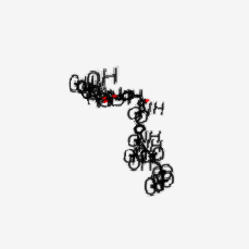 C[C@]12C=CC(=O)C=C1CC[C@@H]1[C@@H]2[C@@H](O)C[C@@]2(C)[C@H]1C[C@H]1CN(c3ccc(CC45CC(NC(=O)OCc6ccc(NC(=O)[C@H](CCC(=O)O)NC(=O)CNC(=O)CCC(=O)ON7C(=O)CCC7=O)cc6)(C4)C5)cc3)C[C@]12C(=O)CO